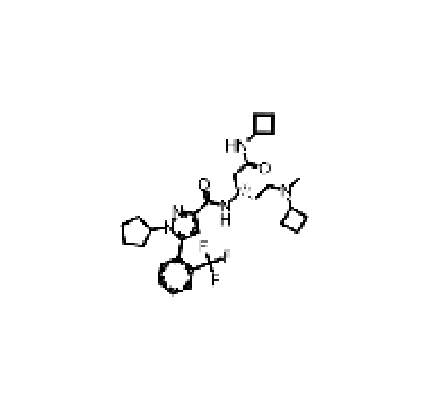 CN(CC[C@@H](CC(=O)NC1CCC1)NC(=O)c1cc(-c2ccccc2C(F)(F)F)n(C2CCCC2)n1)C1CCC1